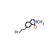 Cn1ccc2ccc(CCCBr)cc2c1=O